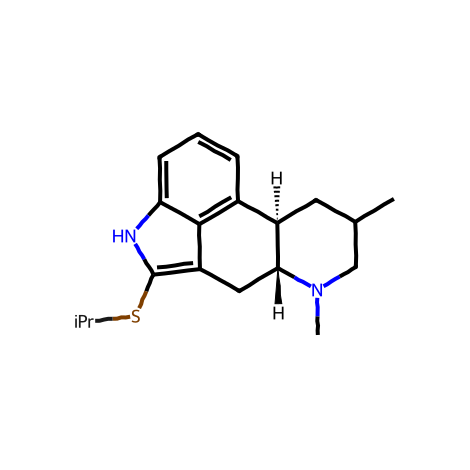 CC1C[C@@H]2c3cccc4[nH]c(SC(C)C)c(c34)C[C@H]2N(C)C1